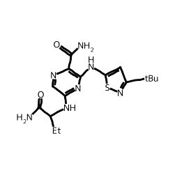 CCC(Nc1cnc(C(N)=O)c(Nc2cc(C(C)(C)C)ns2)n1)C(N)=O